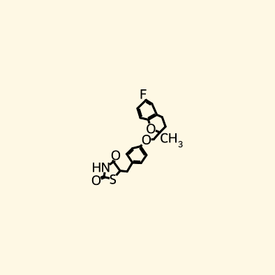 CC1(COc2ccc(CC3SC(=O)NC3=O)cc2)CCc2cc(F)ccc2O1